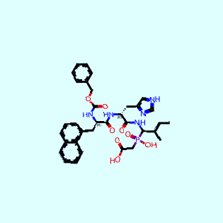 CCC(C)C(NC(=O)[C@@H](Cc1c[nH]cn1)NC(=O)[C@@H](Cc1cccc2ccccc12)NC(=O)OCc1ccccc1)P(=O)(O)CC(=O)O